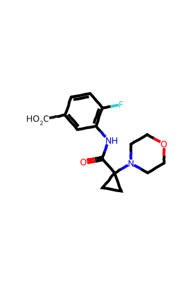 O=C(O)c1ccc(F)c(NC(=O)C2(N3CCOCC3)CC2)c1